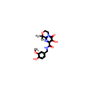 COc1cc(CNC(=O)c2nc3n(c(=O)c2O)CCOC3(C)C)ccc1O